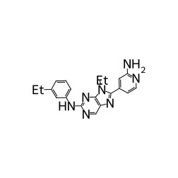 CCc1cccc(Nc2ncc3nc(-c4ccnc(N)c4)n(CC)c3n2)c1